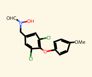 COc1ccc(Oc2c(Cl)cc(CN(O)C=O)cc2Cl)cc1